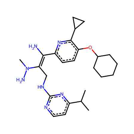 CC(C)c1ccnc(NC/C(=C(/N)c2ccc(OC3CCCCC3)c(C3CC3)n2)N(C)N)n1